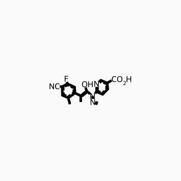 C=NN(/C(O)=C(\C)c1cc(F)c(C#N)cc1C)c1ccc(C(=O)O)cn1